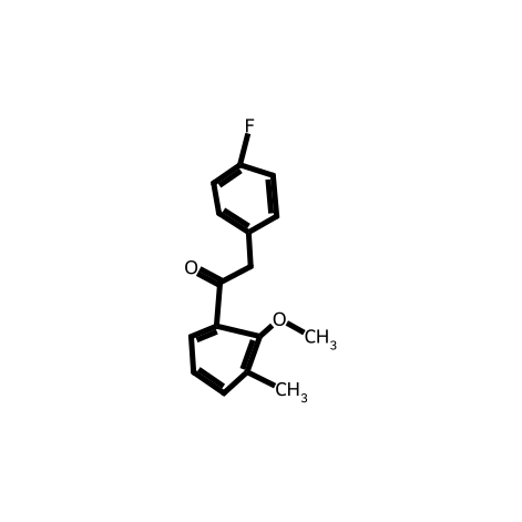 COc1c(C)cccc1C(=O)Cc1ccc(F)cc1